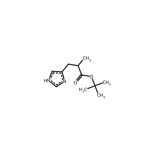 CC(Cc1c[nH]cn1)C(=O)OC(C)(C)C